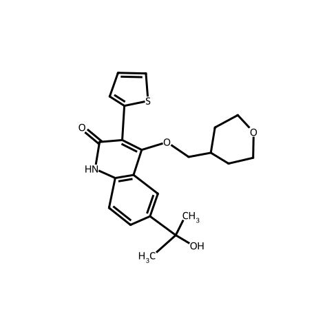 CC(C)(O)c1ccc2[nH]c(=O)c(-c3cccs3)c(OCC3CCOCC3)c2c1